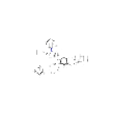 CC(C)(O)C1(C)Cc2cc(NC(=O)/C(C=N)=C3\N=CC=CN3)c(N3CCN(Cc4c[nH]cn4)CC3)cc2O1